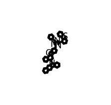 c1ccc(-c2nc(-c3ccc4c(c3)oc3c5ccccc5c(-n5c6ccccc6c6cc7ccccc7cc65)cc43)nc(-c3cccc4sc5ccccc5c34)n2)cc1